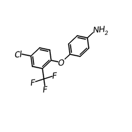 Nc1ccc(Oc2ccc(Cl)cc2C(F)(F)F)cc1